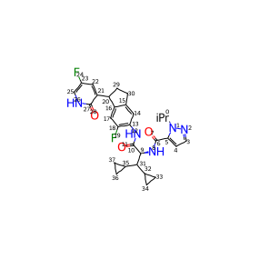 CC(C)n1nccc1C(=O)N[C@H](C(=O)Nc1cc2c(cc1F)C(c1cc(F)c[nH]c1=O)CC2)C(C1CC1)C1CC1